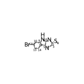 CSc1cnc2c(n1)[nH]c1cc(Br)ccc12